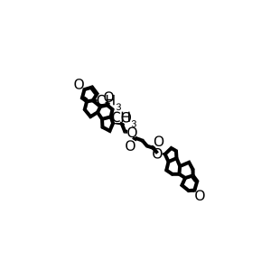 C[C@]12C=CC(=O)C=C1CCC1C2C(=O)C[C@@]2(C)C1CC[C@@H]2C(=O)COC(=O)CCC(=O)O[C@H]1CCC2C3CCC4=CC(=O)CCC4C3CCC21